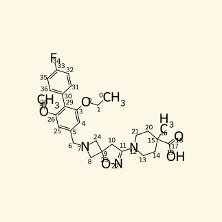 CCOc1cc(CN2CC3(CC(N4CCC(C)(C(=O)O)CC4)=NO3)C2)cc(OC)c1-c1ccc(F)cc1